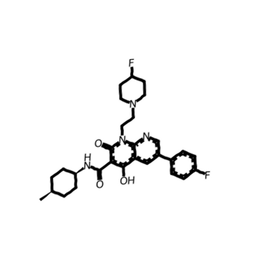 C[C@H]1CC[C@@H](NC(=O)c2c(O)c3cc(-c4ccc(F)cc4)cnc3n(CCN3CCC(F)CC3)c2=O)CC1